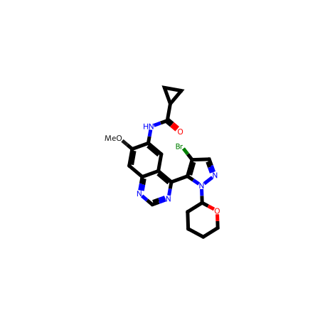 COc1cc2ncnc(-c3c(Br)cnn3C3CCCCO3)c2cc1NC(=O)C1CC1